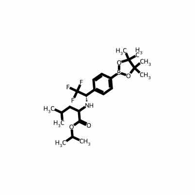 CC(C)CC(N[C@@H](c1ccc(B2OC(C)(C)C(C)(C)O2)cc1)C(F)(F)F)C(=O)OC(C)C